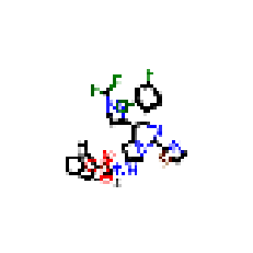 CC1(O)C2CC[C@H]1C[C@H](S(=O)(=O)N[C@H]1CC3=C(c4ccn(C(F)F)n4)[C@H](c4ccc(F)cc4Cl)N=C(c4nccs4)N3C1)C2